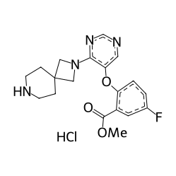 COC(=O)c1cc(F)ccc1Oc1cncnc1N1CC2(CCNCC2)C1.Cl